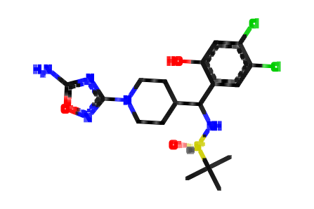 CC(C)(C)[S@+]([O-])NC(c1cc(Cl)c(Cl)cc1O)C1CCN(c2noc(N)n2)CC1